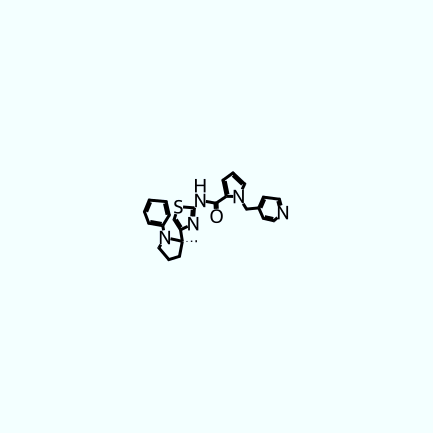 C[C@]1(c2csc(NC(=O)c3cccn3Cc3ccncc3)n2)CCCN1c1ccccc1